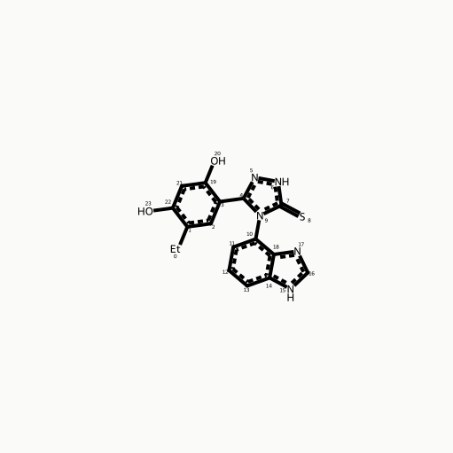 CCc1cc(-c2n[nH]c(=S)n2-c2cccc3[nH]cnc23)c(O)cc1O